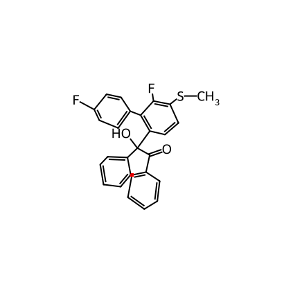 CSc1ccc(C(O)(C(=O)c2ccccc2)c2ccccc2)c(-c2ccc(F)cc2)c1F